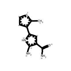 Cc1sccc1-c1cc(C(N)=O)c(N)[nH]1